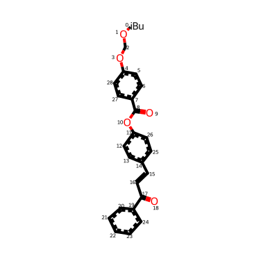 CCC(C)OCOc1ccc(C(=O)Oc2ccc(/C=C/C(=O)c3ccccc3)cc2)cc1